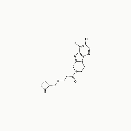 O=C(CCOCC1CCN1)N1CCn2c(cc3c(F)c(Cl)cnc32)C1